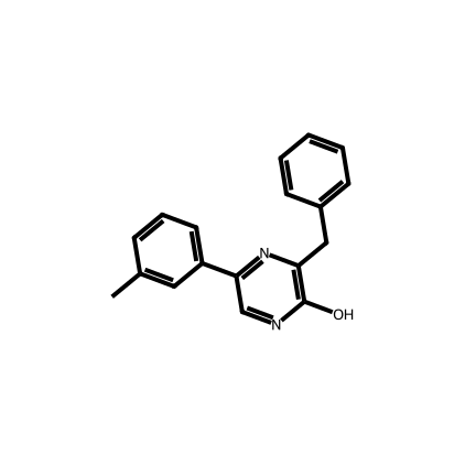 Cc1cccc(-c2cnc(O)c(Cc3ccccc3)n2)c1